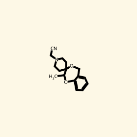 CC1Oc2ccccc2COC12CCN(CC#N)CC2